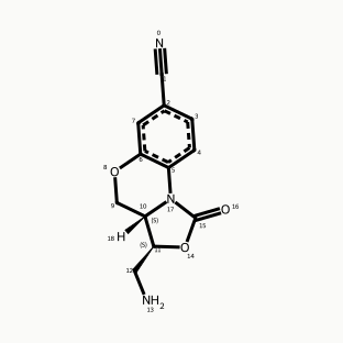 N#Cc1ccc2c(c1)OC[C@H]1[C@H](CN)OC(=O)N21